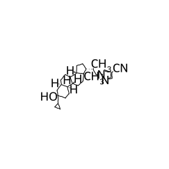 CC(Cn1cc(C#N)cn1)[C@H]1CC[C@H]2[C@@H]3CC[C@@H]4C[C@@](O)(C5CC5)CC[C@@H]4[C@H]3CC[C@]12C